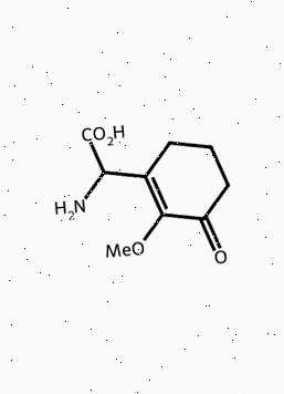 COC1=C(C(N)C(=O)O)CCCC1=O